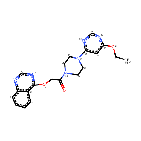 O=C(COc1ncnc2ccccc12)N1CCN(c2cc(OCC(F)(F)F)ncn2)CC1